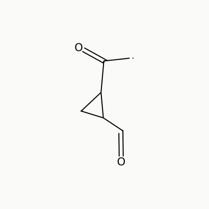 [CH2]C(=O)C1CC1C=O